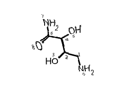 NCC(O)C(O)C(N)=O